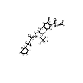 CN(CC(F)(F)F)[C@H](CNC(=O)C1CC1(C)c1ccccc1)Cc1ccc(C(=O)NC2CC2)c(F)c1